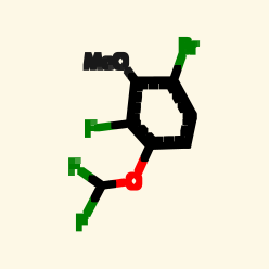 COc1c(Br)ccc(OC(F)F)c1F